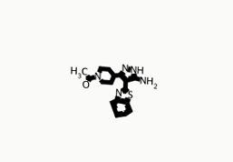 CC(=O)N1CCC(c2n[nH]c(N)c2-c2nc3ccccc3s2)CC1